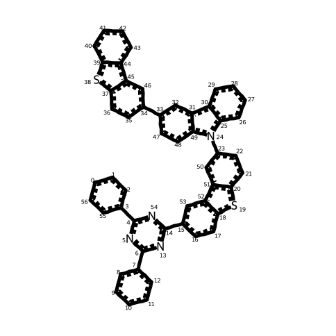 c1ccc(-c2nc(-c3ccccc3)nc(-c3ccc4sc5ccc(-n6c7ccccc7c7cc(-c8ccc9sc%10ccccc%10c9c8)ccc76)cc5c4c3)n2)cc1